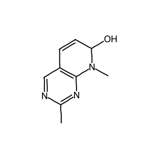 Cc1ncc2c(n1)N(C)C(O)C=C2